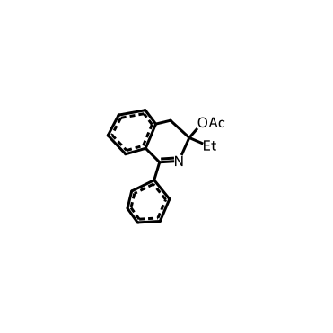 CCC1(OC(C)=O)Cc2ccccc2C(c2ccccc2)=N1